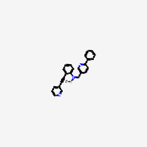 O=CN(Cc1ccc(-c2ccccc2)nc1)c1ccccc1C#Cc1cccnc1